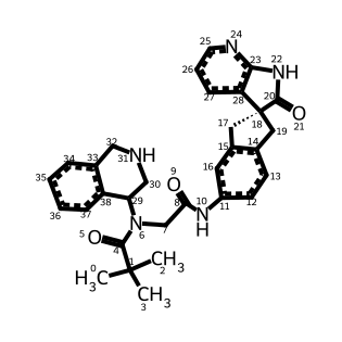 CC(C)(C)C(=O)N(CC(=O)Nc1ccc2c(c1)C[C@@]1(C2)C(=O)Nc2ncccc21)C1CNCc2ccccc21